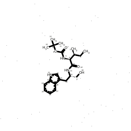 CC[C@H](C)[C@H](NC(=O)OC(C)(C)C)C(=O)N[C@H](CO)Cc1c[nH]c2ccccc12